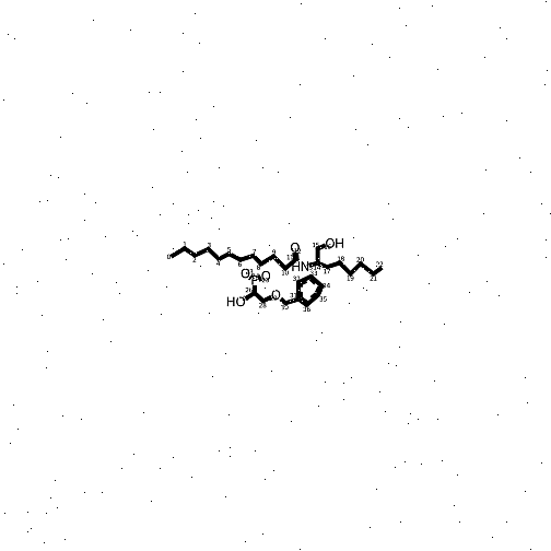 CCCCCCCCCCCC(=O)NC(CO)CCCCCC.O=P(=O)C(O)COCc1ccccc1